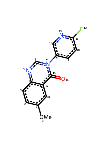 COc1ccc2ncn(-c3ccc(F)nc3)c(=O)c2c1